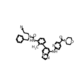 Cc1c(NC(=O)N(CCC#N)Cc2ccccc2)cccc1-c1cc(Nc2ccc(C(=O)N3CCOCC3)cn2)c2nccn2c1